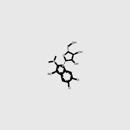 CN(C)c1c(C#N)c2cc(Cl)c(Cl)cc2n1[C@@H]1O[C@H](CO)C(O)C1O